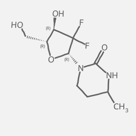 CC1CCN([C@@H]2O[C@H](CO)[C@@H](O)C2(F)F)C(=O)N1